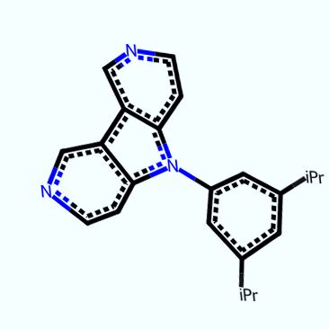 CC(C)c1cc(C(C)C)cc(-n2c3ccncc3c3cnccc32)c1